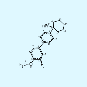 CCCC1(c2ccc(-c3ccc(OC(F)(F)F)c(F)c3)cc2)CCCCC1